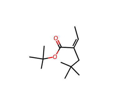 CC=C(CC(C)(C)C)C(=O)OC(C)(C)C